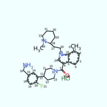 Cc1cccc2c(C(=O)N3CCC(c4cc(CN)ccc4F)CC3)cn(CCC3CCCCN3C)c12.Cl